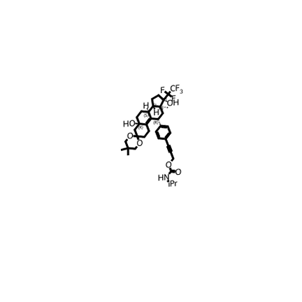 CC(C)NC(=O)OCC#Cc1ccc([C@H]2C[C@@]3(C)[C@@H](CC[C@@]3(O)C(F)(F)C(F)(F)F)[C@@H]3CC[C@@]4(O)CC5(CCC4=C32)OCC(C)(C)CO5)cc1